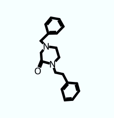 O=C1CN(Cc2ccccc2)CCN1CCc1ccccc1